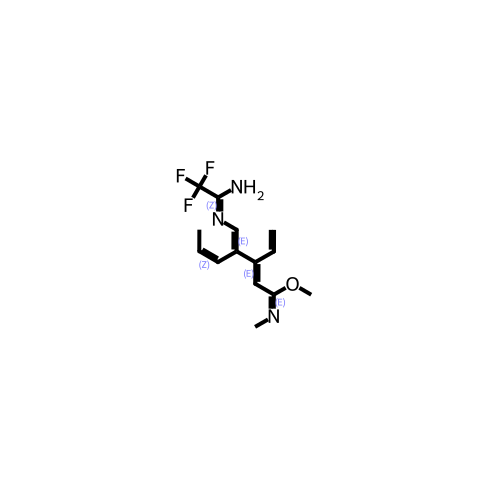 C=CC(=C\C(=N/C)OC)/C(/C=C\C)=C/N=C(\N)C(F)(F)F